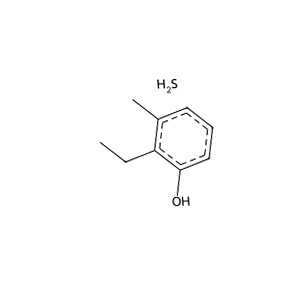 CCc1c(C)cccc1O.S